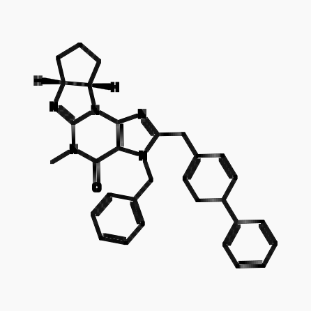 CN1C(=O)c2c(nc(CC3=CCC(c4ccccc4)C=C3)n2Cc2ccccc2)N2C1=N[C@@H]1CCC[C@@H]12